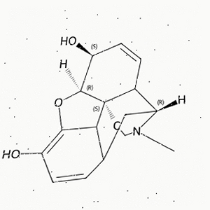 CN1CC[C@@]23C4C5=C(O)C=CC4C[C@@H]1C2C=C[C@H](O)[C@@H]3O5